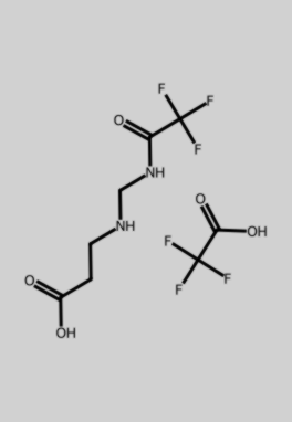 O=C(O)C(F)(F)F.O=C(O)CCNCNC(=O)C(F)(F)F